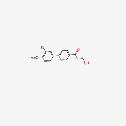 CCc1cc(-c2ccc(C(=O)C=CO)cc2)ccc1OC